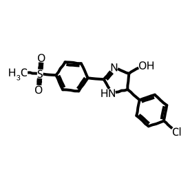 CS(=O)(=O)c1ccc(C2=NC(O)C(c3ccc(Cl)cc3)N2)cc1